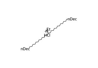 CCCCCCCCCCCCCCCCCCCCCCC(CCCCCCCCCCCCCCCCCCCCCC)N(C)CC.Cl